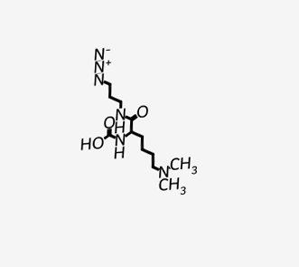 CN(C)CCCCC(NC(=O)O)C(=O)NCCCN=[N+]=[N-]